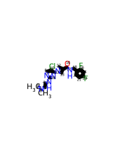 CN(C)CCNc1ncc(Cl)c(N2CC(C(=O)NCc3ccc(F)cc3F)C2)n1